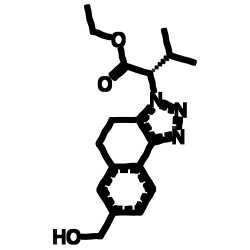 CCOC(=O)[C@H](C(C)C)n1nnc2c1CCc1cc(CO)ccc1-2